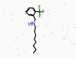 CCCCCCCCNCc1ccccc1C(F)(F)F